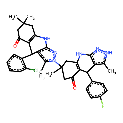 Cc1[nH]nc2c1C(c1ccc(F)cc1)C1=C(CC(C)(n3nc4c(c3C)C(c3ccccc3Cl)C3=C(CC(C)(C)CC3=O)N4)CC1=O)N2